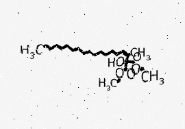 CCCCCCCCCCCCCCCC=C(C)C(O)(C(=O)OCC)C(=O)OCC